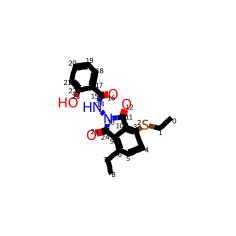 CCSc1ccc(CC)c2c1C(=O)N(NC(=O)c1ccccc1O)C2=O